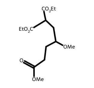 CCOC(=O)C(CC(CCC(=O)OC)OC)C(=O)OCC